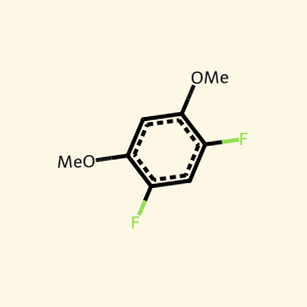 COc1cc(OC)c(F)cc1F